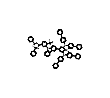 FC(F)(F)c1ccc(-c2nc(-c3ccccc3)nc(-c3ccccc3)n2)cc1-n1c2ccccc2c2cc(-c3cc4c5c(c3)N(c3ccc(-c6ccccc6)cc3)c3ccc(-c6ccccc6)cc3B5c3cc(-c5ccccc5)ccc3N4c3ccc(-c4ccccc4)cc3)ccc21